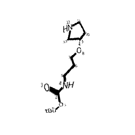 CC(C)(C)OC(=O)NCCCO[C@H]1CCNC1